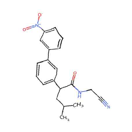 CC(C)CC(C(=O)NCC#N)c1cccc(-c2cccc([N+](=O)[O-])c2)c1